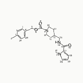 Cc1ccc(COC(=O)N2CCC(CNC(=O)c3cccn3C)CC2)cc1